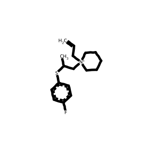 C=CC[N+]1(CC(C)Sc2ccc(F)cc2)CCCCC1